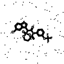 C=CN(C(=O)C(c1csc2ccc(Cl)cc12)P1(=O)OCCCO1)c1cccc(OC(F)(F)F)c1